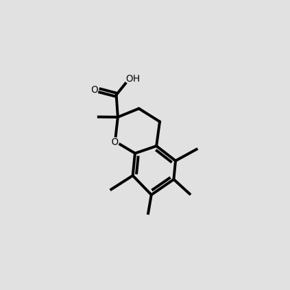 Cc1c(C)c(C)c2c(c1C)CCC(C)(C(=O)O)O2